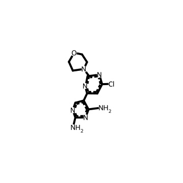 Nc1ncc(-c2cc(Cl)nc(N3CCOCC3)n2)c(N)n1